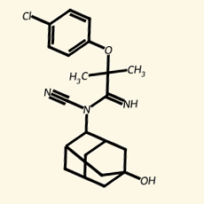 CC(C)(Oc1ccc(Cl)cc1)C(=N)N(C#N)C1C2CC3CC1CC(O)(C3)C2